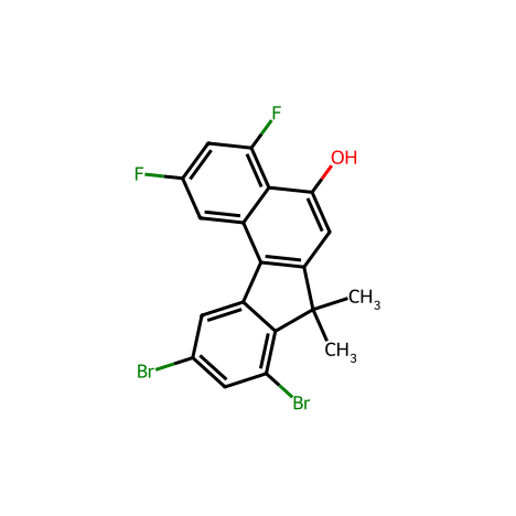 CC1(C)c2cc(O)c3c(F)cc(F)cc3c2-c2cc(Br)cc(Br)c21